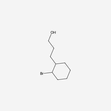 OCCCC1CCCCC1Br